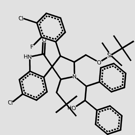 CC(C)(C)CC1N(C(c2ccccc2)C(O)c2ccccc2)C(CO[Si](C)(C)C(C)(C)C)C(c2cccc(Cl)c2F)C12C(=O)Nc1cc(Cl)ccc12